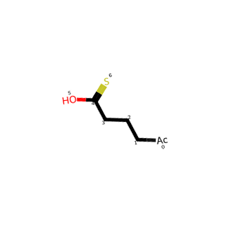 CC(=O)CCCC(O)=S